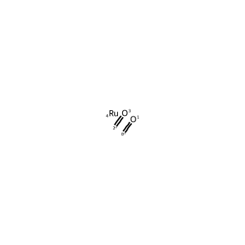 [C]=O.[C]=O.[Ru]